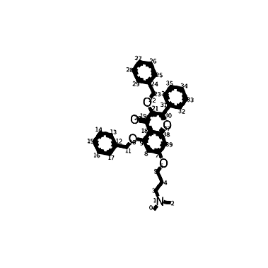 CN(C)CCCOc1cc(OCc2ccccc2)c2c(=O)c(OCc3ccccc3)c(-c3ccccc3)oc2c1